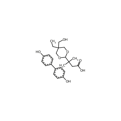 CCC1(CO)COC(C(C)(C)CC(=O)O)OC1.Oc1ccc(-c2ccc(O)cc2)cc1